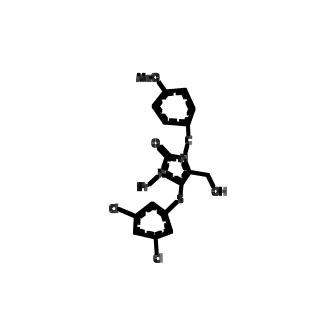 COc1ccc(Cn2c(CO)c(Sc3cc(Cl)cc(Cl)c3)n(C(C)C)c2=O)cc1